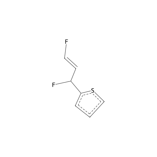 FC=CC(F)c1cccs1